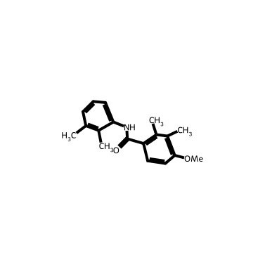 COc1ccc(C(=O)Nc2cccc(C)c2C)c(C)c1C